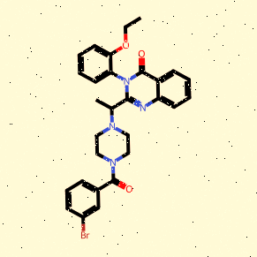 CCOc1ccccc1-n1c(C(C)N2CCN(C(=O)c3cccc(Br)c3)CC2)nc2ccccc2c1=O